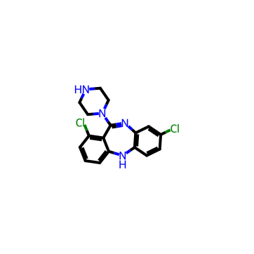 Clc1ccc2c(c1)N=C(N1CCNCC1)c1c(Cl)cccc1N2